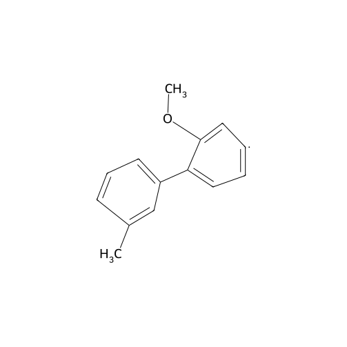 COc1c[c]ccc1-c1cccc(C)c1